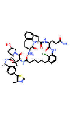 Cc1ncsc1-c1ccc([C@H](C)NC(=O)[C@@H]2C[C@@H](O)CN2C(=O)[C@@H](NC(=O)CCCCCc2cccc(NC(=O)[C@H](CCC(N)=O)NC(=O)[C@@H]3Cc4cccc5c4N3C(=O)[C@@H](N)CC5)c2Cl)C(C)(C)C)cc1